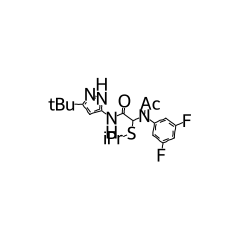 CC(=O)N(c1cc(F)cc(F)c1)C(SC(C)C)C(=O)Nc1cc(C(C)(C)C)n[nH]1